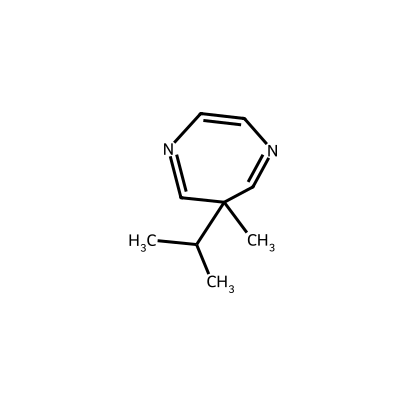 CC(C)C1(C)C=NC=CN=C1